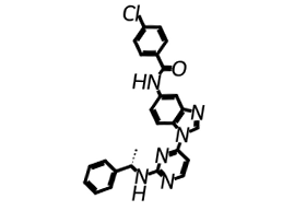 C[C@H](Nc1nccc(-n2cnc3cc(NC(=O)c4ccc(Cl)cc4)ccc32)n1)c1ccccc1